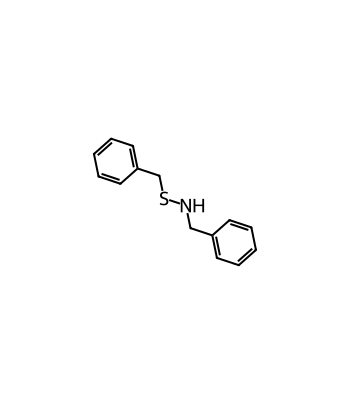 c1ccc(CNSCc2ccccc2)cc1